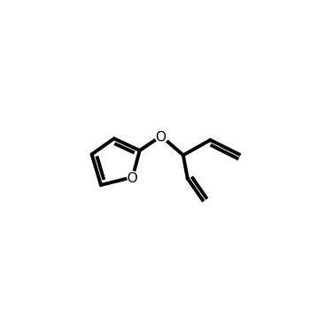 C=CC(C=C)Oc1ccco1